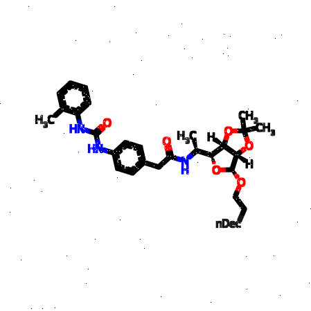 CCCCCCCCCCCCO[C@H]1O[C@H]([C@H](C)NC(=O)Cc2ccc(NC(=O)Nc3ccccc3C)cc2)[C@@H]2OC(C)(C)O[C@H]12